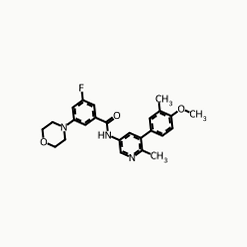 COc1ccc(-c2cc(NC(=O)c3cc(F)cc(N4CCOCC4)c3)cnc2C)cc1C